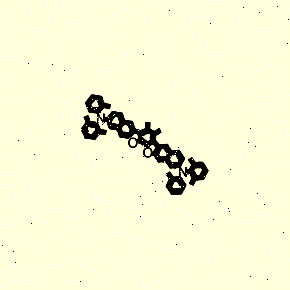 Cc1ccccc1N(c1ccc2cc3c(cc2c1)oc1c2oc4cc5cc(N(c6ccccc6C)c6c(C)cccc6C)ccc5cc4c2c(C)c(C)c31)c1c(C)cccc1C